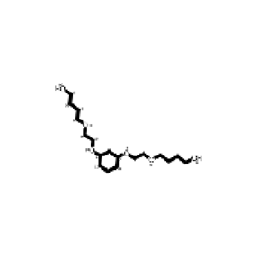 OCCCCOCCOC1CCCC(OCCOCCCCO)C1